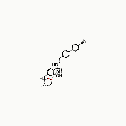 CN1CC[C@]23C[C@@H](O)C=C[C@H]2[C@H]1Cc1ccc(C(=O)NCCc2ccc(-c4ccc(C#N)cc4)cc2)c(O)c13